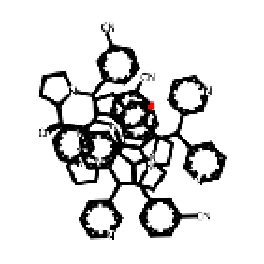 N#Cc1cccc(C(C(c2cccnc2)c2cccnc2)N2CCCC2C(=O)N2CCCC2N(C(=O)C2CCCN2C(c2cccc(C#N)c2)C(c2cccnc2)c2cccnc2)C2CCCN2C(=O)C2CCCN2C(c2cccc(C#N)c2)C(c2cccnc2)c2cccnc2)c1